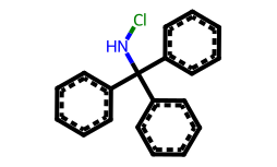 ClNC(c1ccccc1)(c1ccccc1)c1ccccc1